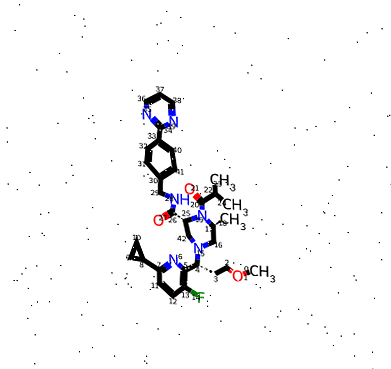 COCC[C@H](c1nc(C2CC2)ccc1F)N1C[C@@H](C)N(C(=O)C(C)C)[C@@H](C(=O)NCc2ccc(-c3ncccn3)cc2)C1